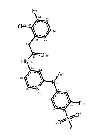 CC(=O)N(c1ccc(S(C)(=O)=O)c(F)c1)c1cc(NC(=O)Cc2cccc(F)c2Cl)ccn1